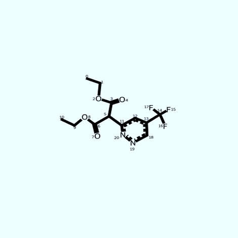 CCOC(=O)C(C(=O)OCC)c1cc(C(F)(F)F)cnn1